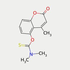 Cc1cc(=O)oc2cccc(OC(=S)N(C)C)c12